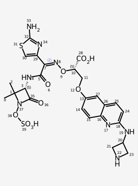 CC1(C)[C@H](NC(=O)/C(=N\O[C@@H](COc2ccc3nc(NC4CNC4)ccc3c2)C(=O)O)c2csc(N)n2)C(=O)N1OS(=O)(=O)O